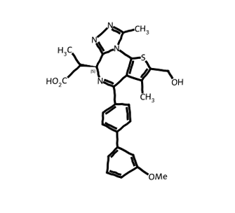 COc1cccc(-c2ccc(C3=N[C@@H](C(C)C(=O)O)c4nnc(C)n4-c4sc(CO)c(C)c43)cc2)c1